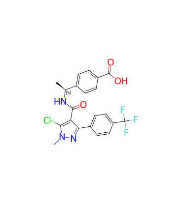 C[C@H](NC(=O)c1c(-c2ccc(C(F)(F)F)cc2)nn(C)c1Cl)c1ccc(C(=O)O)cc1